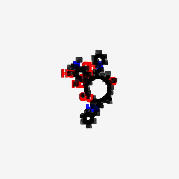 CCC1OC(=O)CC(O)C(C)C(O[C@@H]2O[C@H](C)[C@@H](O)[C@H](N(C)C)[C@H]2O)C(CCN2CCCCC2)CC(C)C(=O)C=CC(C)=CC1CNCc1ccccc1